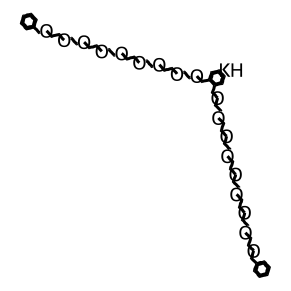 [KH].c1ccc(COCCOCCOCCOCCOCCOCCOCCOCCOCc2ccccc2COCCOCCOCCOCCOCCOCCOCCOCCOCc2ccccc2)cc1